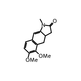 COc1ccc2c(c1OC)CC1CC(=O)N(C)C1=C2